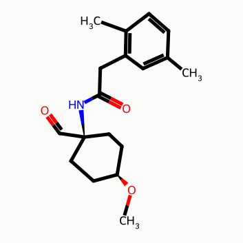 CO[C@H]1CC[C@@](C=O)(NC(=O)Cc2cc(C)ccc2C)CC1